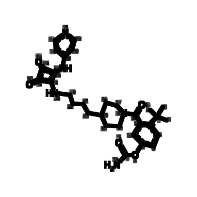 CC(C)(C)c1ccc(OC(N)=O)cc1C(=O)N1CCC(CCCCNc2c(Nc3ccncc3)c(=O)c2=O)CC1